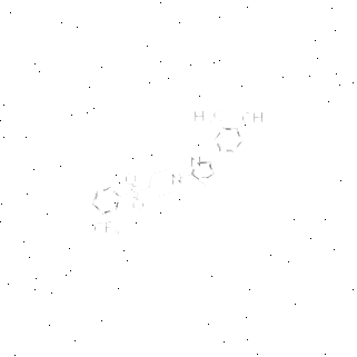 Cc1ccc(-c2csc(N3CCC(S(=O)(=O)c4cccc(C(F)(F)F)c4)CC3)n2)cc1C